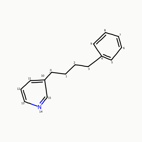 [CH](CCCc1ccccc1)c1cccnc1